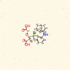 O=C(O)COc1c(C(=O)O)sc(-c2cccc(NC3C4CC5CC(C4)CC3C5)c2)c1Br